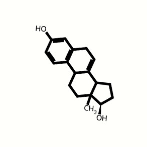 CC12CCC3C(=CCc4cc(O)ccc43)C1CC[C@H]2O